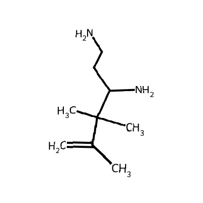 C=C(C)C(C)(C)C(N)CCN